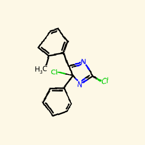 Cc1ccccc1C1=NC(Cl)=NC1(Cl)c1ccccc1